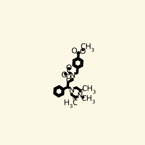 COC(=O)c1ccc(CN(CCC(c2ccccc2)N2C[C@@H](C)N(C)[C@@H](C)C2)[SH](=O)=O)cc1